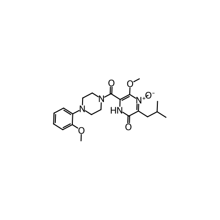 COc1ccccc1N1CCN(C(=O)c2[nH]c(=O)c(CC(C)C)[n+]([O-])c2OC)CC1